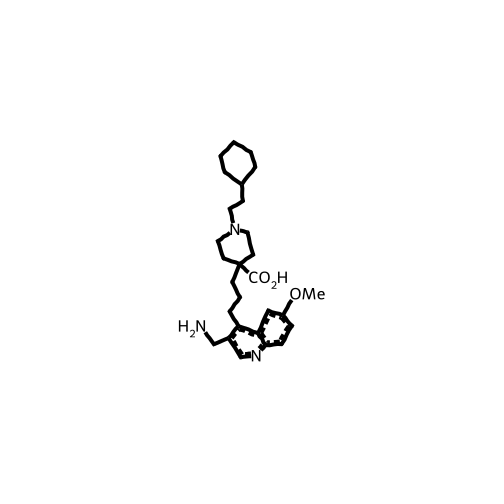 COc1ccc2ncc(CN)c(CCCC3(C(=O)O)CCN(CCC4CCCCC4)CC3)c2c1